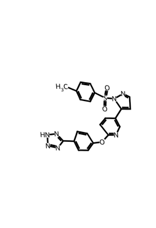 Cc1ccc(S(=O)(=O)n2nccc2-c2ccc(Oc3ccc(-c4nn[nH]n4)cc3)nc2)cc1